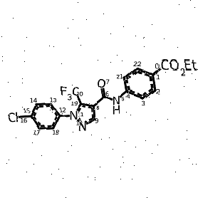 CCOC(=O)c1ccc(NC(=O)c2cnn(-c3ccc(Cl)cc3)c2C(F)(F)F)cc1